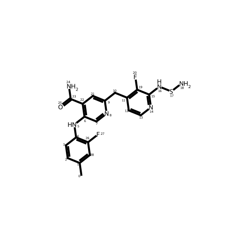 Cc1ccc(Nc2cnc(Cc3ccnc(NSN)c3F)cc2C(N)=O)c(F)c1